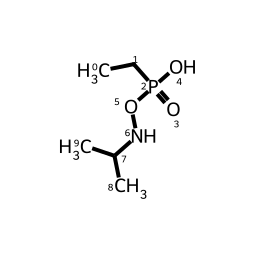 CCP(=O)(O)ONC(C)C